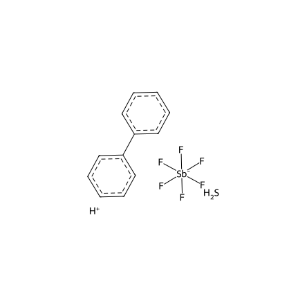 S.[F][Sb-]([F])([F])([F])([F])[F].[H+].c1ccc(-c2ccccc2)cc1